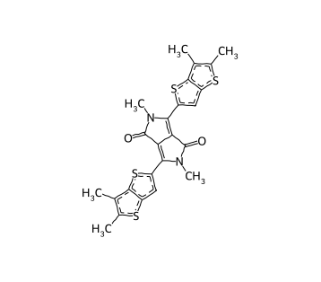 Cc1sc2cc(C3=C4C(=O)N(C)C(c5cc6sc(C)c(C)c6s5)=C4C(=O)N3C)sc2c1C